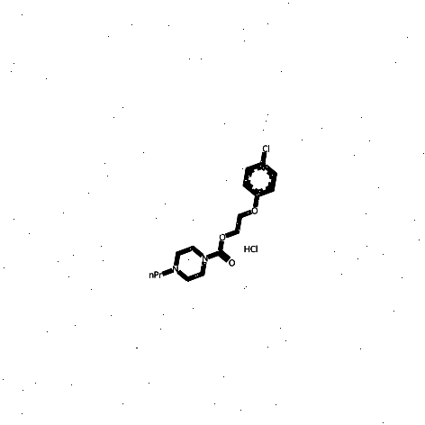 CCCN1CCN(C(=O)OCCOc2ccc(Cl)cc2)CC1.Cl